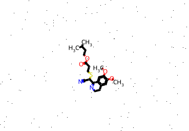 COc1cc2c(cc1OC)C(C(C#N)SCCC(=O)OCCC(C)C)=NCC2